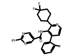 CC(C)c1ncc(C(=O)Nc2c(-c3ccccc3F)ccnc2C2CCC(F)(F)CC2)cn1